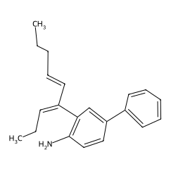 CC/C=C(/C=C/CCC)c1cc(-c2ccccc2)ccc1N